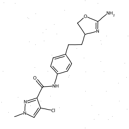 Cn1cc(Cl)c(C(=O)Nc2ccc(CCC3COC(N)=N3)cc2)n1